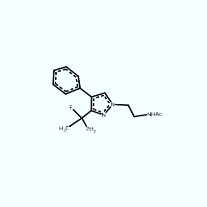 CC(=O)NCCn1cc(-c2ccccc2)c(C(C)(F)P)n1